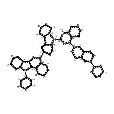 c1ccc(-c2ccc3cc(-c4nc(-n5c6ccccc6c6cc(-c7cc8c9ccccc9n(-c9ccccc9)c8c8ccccc78)ccc65)nc5ccccc45)ccc3c2)cc1